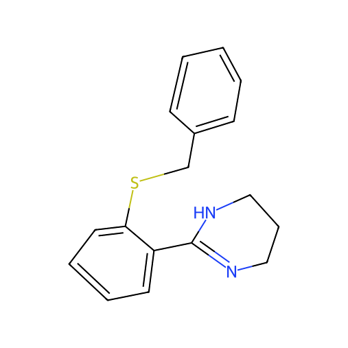 c1ccc(CSc2ccccc2C2=NCCCN2)cc1